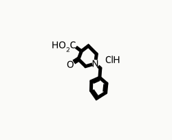 Cl.O=C(O)C1CCN(Cc2ccccc2)CC1=O